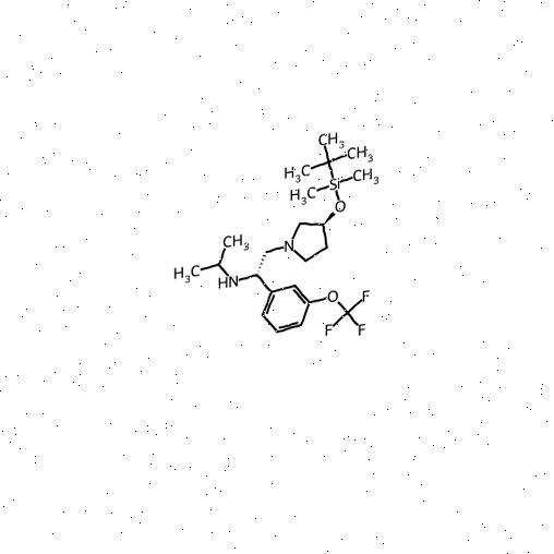 CC(C)N[C@H](CN1CC[C@H](O[Si](C)(C)C(C)(C)C)C1)c1cccc(OC(F)(F)F)c1